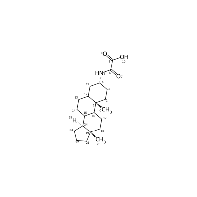 C[C@]12CC[C@@H](NC(=O)C(=O)O)CC1CCC1C2CC[C@]2(C)CCC[C@@H]12